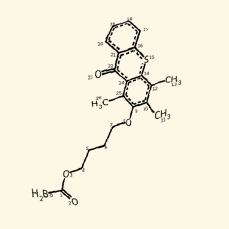 BC(=O)OCCCCOc1c(C)c(C)c2sc3ccccc3c(=O)c2c1C